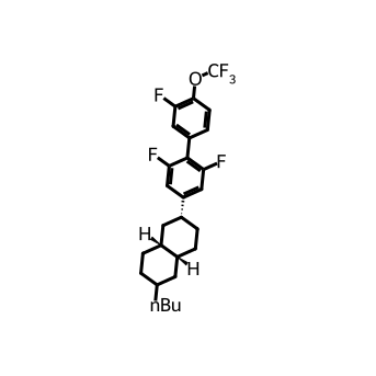 CCCCC1CC[C@@H]2C[C@H](c3cc(F)c(-c4ccc(OC(F)(F)F)c(F)c4)c(F)c3)CC[C@@H]2C1